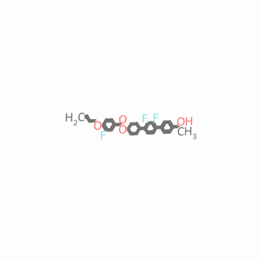 C=CCCOc1ccc(C(=O)OC2CCC(c3ccc(-c4ccc(C(C)O)cc4)c(F)c3F)CC2)cc1F